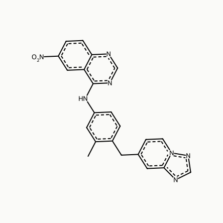 Cc1cc(Nc2ncnc3ccc([N+](=O)[O-])cc23)ccc1Cc1ccn2ncnc2c1